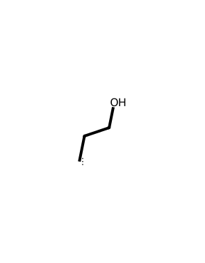 [C]CCO